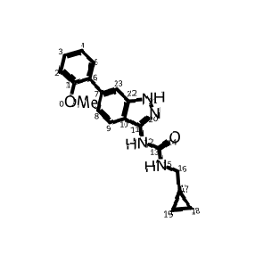 COc1ccccc1-c1ccc2c(NC(=O)NCC3CC3)n[nH]c2c1